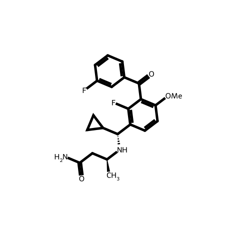 COc1ccc([C@H](N[C@@H](C)CC(N)=O)C2CC2)c(F)c1C(=O)c1cccc(F)c1